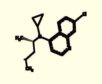 C[CH]C[C@H](C)N(c1ccnc2cc(Cl)ccc12)C1CC1